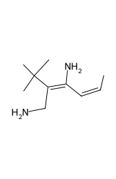 C/C=C\C(N)=C(/CN)C(C)(C)C